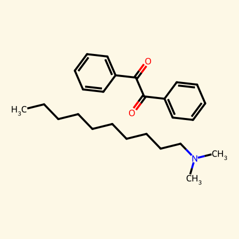 CCCCCCCCCCN(C)C.O=C(C(=O)c1ccccc1)c1ccccc1